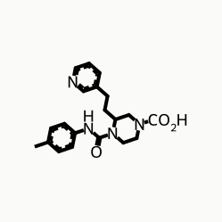 Cc1ccc(NC(=O)N2CCN(C(=O)O)CC2CCc2cccnc2)cc1